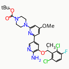 COc1cc(-c2cnc(N)c(O[C@H](C)c3c(Cl)ccc(F)c3Cl)c2)nc(N2CCN(C(=O)OC(C)(C)C)CC2)c1